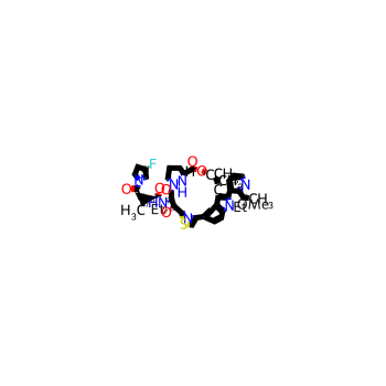 CCO[C@@H]1c2nc(cs2)-c2ccc3c(c2)c(c(-c2cccnc2[C@H](C)OC)n3CC)CC(C)(C)COC(=O)[C@@H]2CCCN(N2)C(=O)[C@H]1NC(=O)[C@@H]1[C@@H](C)[C@H]1C(=O)N1CC[C@H](F)C1